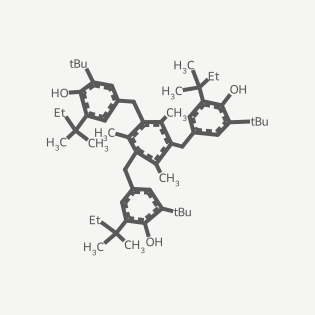 CCC(C)(C)c1cc(Cc2c(C)c(Cc3cc(C(C)(C)C)c(O)c(C(C)(C)CC)c3)c(C)c(Cc3cc(C(C)(C)C)c(O)c(C(C)(C)CC)c3)c2C)cc(C(C)(C)C)c1O